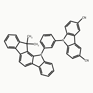 CC1(C)c2ccccc2-c2ccc3c4ccccc4n(-c4cccc(-n5c6ccc(C#N)cc6c6cc(C#N)ccc65)c4)c3c21